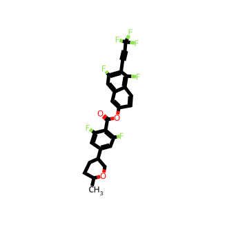 CC1CCC(c2cc(F)c(C(=O)Oc3ccc4c(F)c(C#CC(F)(F)F)c(F)cc4c3)c(F)c2)CO1